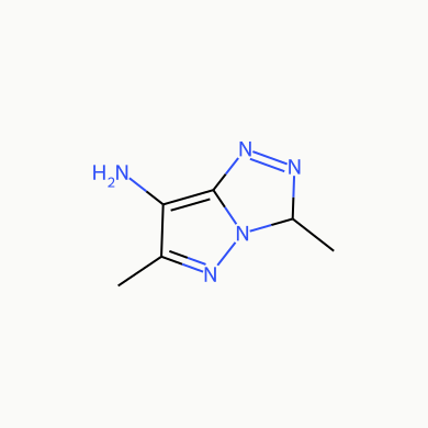 Cc1nn2c(c1N)N=NC2C